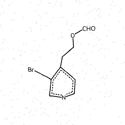 O=COCCc1ccncc1Br